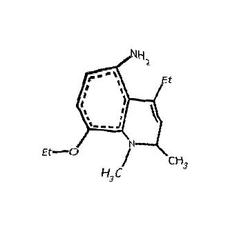 CCOc1ccc(N)c2c1N(C)C(C)C=C2CC